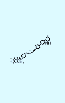 CC(C)(C)OC(=O)N1CCN(CCOCC#Cc2ccc(-c3ccc4c(c3)[nH]c3ccncc34)cn2)CC1